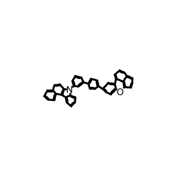 c1cc(-c2ccc(-c3ccc4c(c3)-c3cccc5cccc(c35)O4)cc2)cc(-n2c3ccccc3c3c4ccccc4ccc32)c1